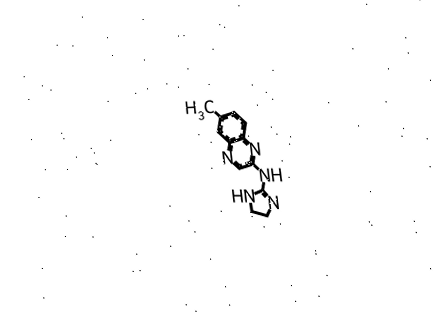 Cc1ccc2nc(NC3=NCCN3)cnc2c1